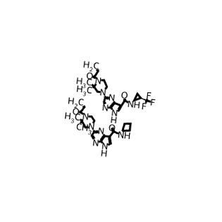 C=CC(=O)N1CCN(c2cnc3[nH]cc(C(=O)NC4CCC4)c3n2)CC1(C)C.C=CC(=O)N1CCN(c2cnc3[nH]cc(C(=O)N[C@@H]4C[C@H]4C(F)(F)F)c3n2)CC1(C)C